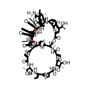 C=C(NC(=O)C(=C)NC(=O)c1csc(C2=N[C@@H]3c4csc(n4)[C@H]4NC(=O)c5csc(n5)[C@H]([C@](C)(O)[C@@H](C)O)NC(=O)C5CSC(=N5)/C(=C/C)NC(=O)[C@H]([C@@H](C)O)NC(=O)c5csc(n5)[C@]3(CC2)NC(=O)[C@H](C)NC(=O)C(=C)NC(=O)[C@H](C)NC(=O)[C@H]([C@@H](C)CC)NC2C=Cc3c([C@H](C)O)cc(nc3[C@H]2O)C(=O)O[C@@H]4C)n1)C(N)=O